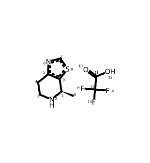 C[C@H]1NCCc2ncsc21.O=C(O)C(F)(F)F